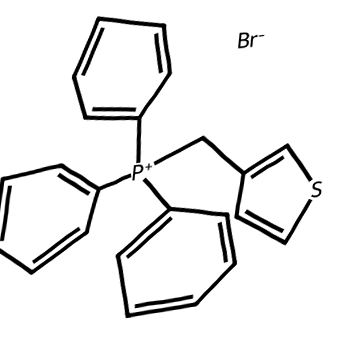 [Br-].c1ccc([P+](Cc2ccsc2)(c2ccccc2)c2ccccc2)cc1